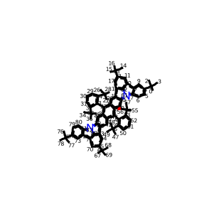 CC(C)(C)c1ccc2c(c1)c1cc(C(C)(C)C)cc3c4cc5c(-c6c(C(C)(C)C)cccc6C(C)(C)C)c6cc7c(cc6c(-c6c(C(C)(C)C)cccc6C(C)(C)C)c5cc4n2c13)c1cc(C(C)(C)C)cc2c3cc(C(C)(C)C)ccc3n7c21